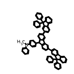 CN(c1ccccc1)c1ccc(C2c3ccc(-c4ccc5c(c4)C(c4ccccc4)(c4ccccc4)c4ccccc4-5)cc3-c3cc(-c4ccc5c(c4)C(c4ccccc4)(c4ccccc4)c4ccccc4-5)ccc32)cc1